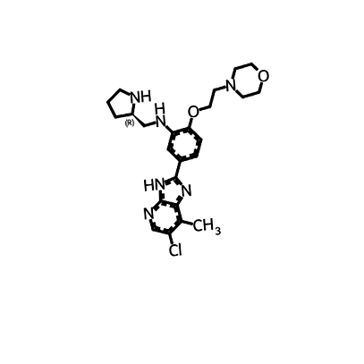 Cc1c(Cl)cnc2[nH]c(-c3ccc(OCCN4CCOCC4)c(NC[C@H]4CCCN4)c3)nc12